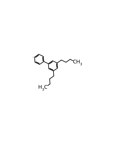 CCCCc1cc(CCCC)cc(-c2cc[c]cc2)c1